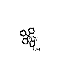 Oc1ccc2c(c1)ncn2C(c1ccccc1)(c1ccccc1)c1ccccc1